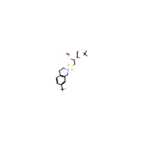 CC1(C)OC[C@H](C(CS(=O)(=O)N2CCc3ccc(C(F)(F)F)cc3C2)N(O)C=O)O1